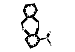 O=[N+]([O-])c1cccc2/c1=C\C=c1\cccc\c1=C\N=2